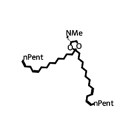 CCCCC/C=C\C/C=C\CCCCCCCCC1(CCCCCCCC/C=C\C/C=C\CCCCC)OC[C@@H](CNC)O1